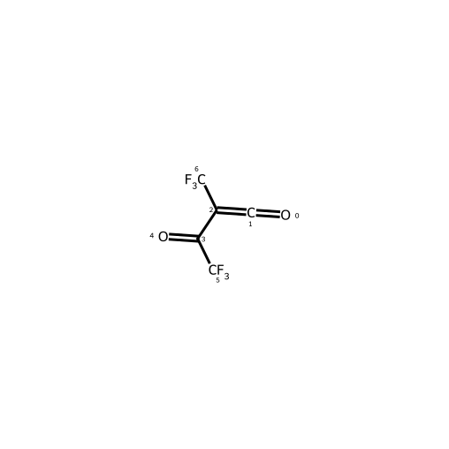 O=C=C(C(=O)C(F)(F)F)C(F)(F)F